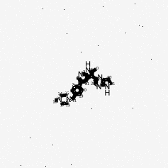 Cc1[nH]c2ncc(-c3ccc(CN4CCN(C)CC4)cc3)cc2c1-c1cnc2c(n1)CCN2